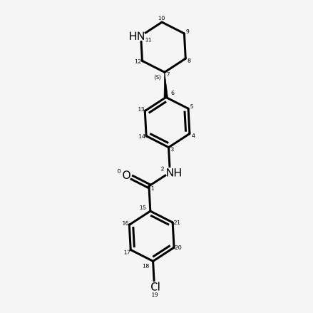 O=C(Nc1ccc([C@@H]2CCCNC2)cc1)c1ccc(Cl)cc1